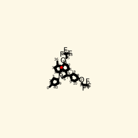 Cc1ccc(N(C=C(c2ccc(OCC(F)(F)F)cc2)c2ccc(OCC(F)(F)F)cc2)c2ccc(C)cc2)cc1